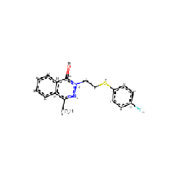 O=C(O)c1nn(CCSc2ccc(F)cc2)c(=O)c2ccccc12